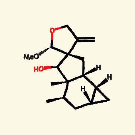 C=C1CO[C@@H](OC)[C@]12C[C@@H]1[C@@H]3C[C@@H]3C[C@@H](C)[C@]1(C)[C@H]2O